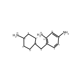 Nc1ccc(CC2CCC(N)CC2)c(N)c1